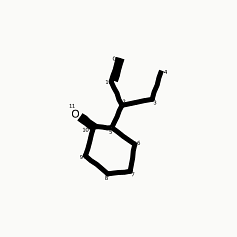 C=CC(CC)C1CCCCC1=O